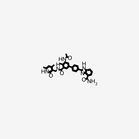 CC(=O)Nc1cc(-c2ccc(-c3nc4c(C(N)=O)cccc4[nH]3)cc2)cc(C(=O)NCc2c(C)cc(C)[nH]c2=O)c1C